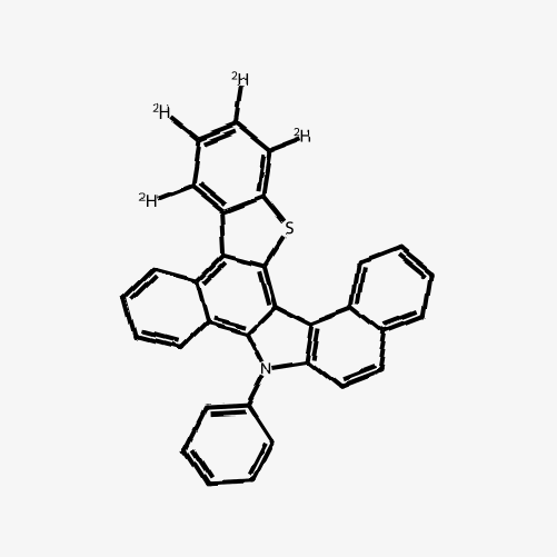 [2H]c1c([2H])c([2H])c2c(sc3c2c2ccccc2c2c3c3c4ccccc4ccc3n2-c2ccccc2)c1[2H]